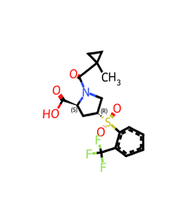 CC1(C(=O)N2C[C@H](S(=O)(=O)c3ccccc3C(F)(F)F)C[C@H]2C(=O)O)CC1